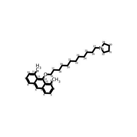 Cc1cccc2cc3cccc(C)c3c(OCCCCCCCCCCCCN3CCCC3)c12